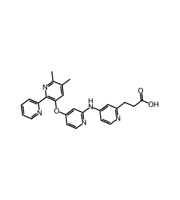 Cc1cc(Oc2ccnc(Nc3ccnc(CCC(=O)O)c3)c2)c(-c2ccccn2)nc1C